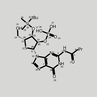 CC(C)C(=O)Nc1nc2c(ncn2[C@@H]2S[C@H](CO)[C@@H](O[Si](C)(C)C(C)(C)C)[C@H]2OP(=O)(O)O)c(=O)[nH]1